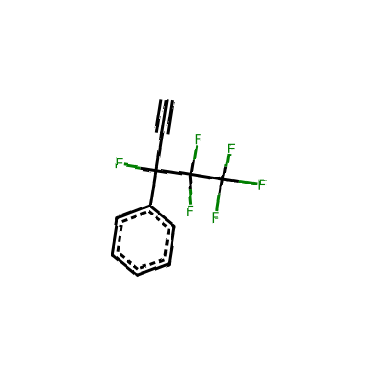 C#CC(F)(c1ccccc1)C(F)(F)C(F)(F)F